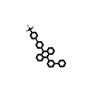 FC(F)(F)c1ccc(-c2ccc(-c3c4ccccc4c(-c4cccc(-c5ccccc5)c4)c4ccccc34)cc2)cc1